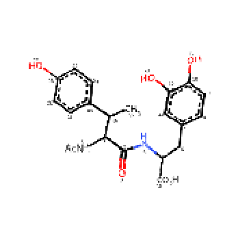 CC(=O)NC(C(=O)NC(Cc1ccc(O)c(O)c1)C(=O)O)C(C)c1ccc(O)cc1